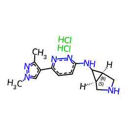 Cc1nn(C)cc1-c1ccc(NC2[C@H]3CNC[C@@H]23)nn1.Cl.Cl